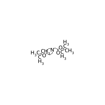 CC(C)(C)OC(=O)CN1CCC(OC(C)(C)C)CC1